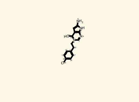 Nc1cc2c([nH]1)N=CN(CCc1ccc(Cl)cc1)C2O